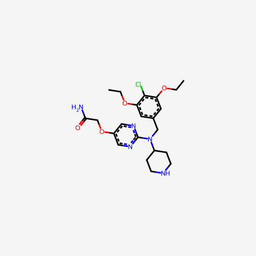 CCOc1cc(CN(c2ncc(OCC(N)=O)cn2)C2CCNCC2)cc(OCC)c1Cl